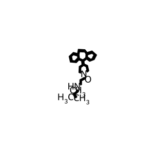 CC(C)(C)CNCCC(=O)N1CCC(=C2c3ccccc3C=Cc3ccccc32)CC1